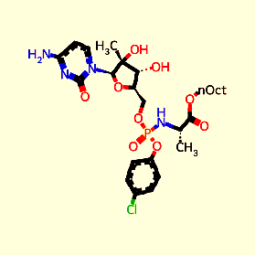 CCCCCCCCOC(=O)[C@H](C)NP(=O)(OC[C@H]1O[C@@H](n2ccc(N)nc2=O)[C@](C)(O)[C@@H]1O)Oc1ccc(Cl)cc1